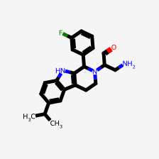 CC(C)c1ccc2[nH]c3c(c2c1)CCN(C(C=O)CN)C3c1cccc(F)c1